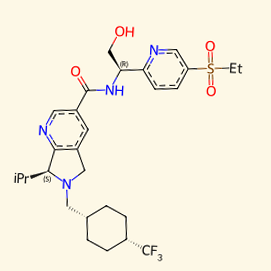 CCS(=O)(=O)c1ccc([C@H](CO)NC(=O)c2cnc3c(c2)CN(C[C@H]2CC[C@@H](C(F)(F)F)CC2)[C@H]3C(C)C)nc1